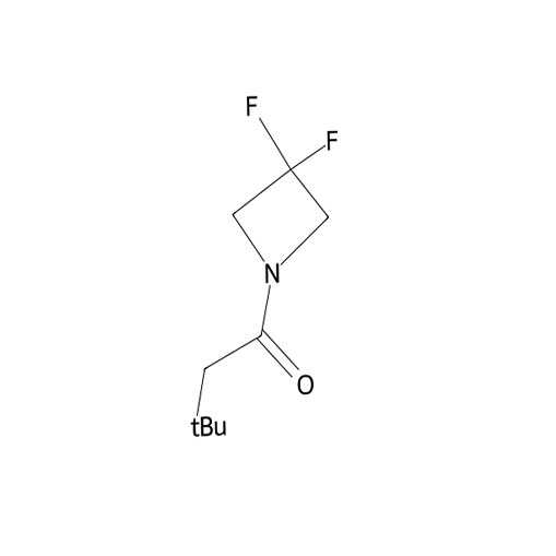 CC(C)(C)CC(=O)N1CC(F)(F)C1